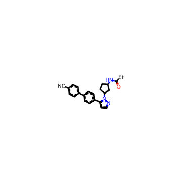 CCC(=O)NC1CCC(n2nccc2-c2ccc(-c3ccc(C#N)cc3)cc2)C1